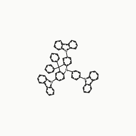 c1ccc(C2(c3ccccc3)c3cc(-n4c5ccccc5c5ccccc54)ccc3N(c3ccc(-n4c5ccccc5c5ccccc54)cc3)c3ccc(-n4c5ccccc5c5ccccc54)cc32)cc1